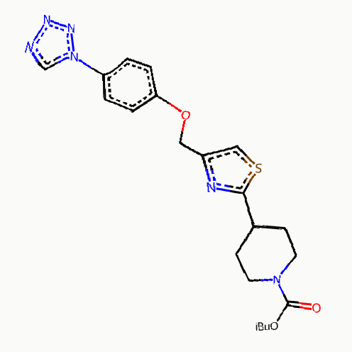 CC(C)COC(=O)N1CCC(c2nc(COc3ccc(-n4cnnn4)cc3)cs2)CC1